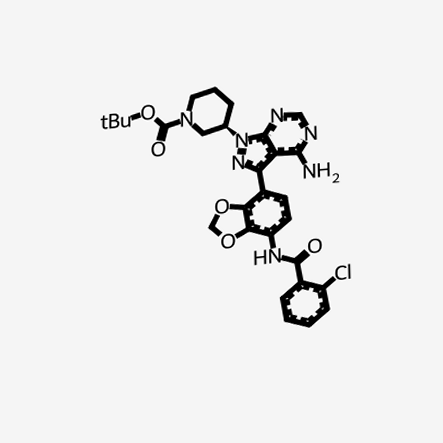 CC(C)(C)OC(=O)N1CCC[C@@H](n2nc(-c3ccc(NC(=O)c4ccccc4Cl)c4c3OCO4)c3c(N)ncnc32)C1